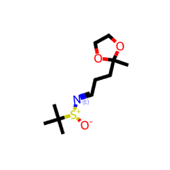 CC1(CC/C=N/[S+]([O-])C(C)(C)C)OCCO1